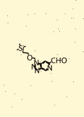 C[Si](C)(C)CCOCn1nnc2cnc(C=O)cc21